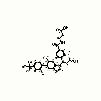 CC(C)CC(c1ccc(C(=O)NCCC(=O)O)cc1)n1ccc2cc(-c3ccc(C(F)(F)F)cc3Cl)c(Cl)cc21